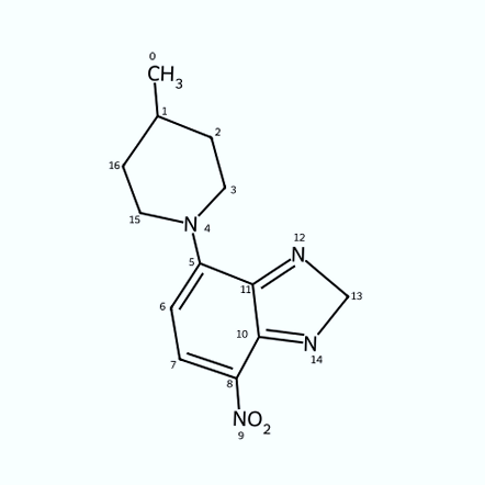 CC1CCN(c2ccc([N+](=O)[O-])c3c2=NCN=3)CC1